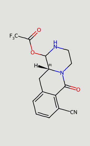 N#Cc1cccc2c1C(=O)N1CCNC(OC(=O)C(F)(F)F)[C@H]1C2